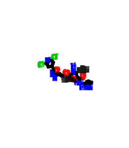 CCCC[C@H](NC(=O)O[C@H](c1nnc(-c2cc(Cl)nc(Cl)c2)o1)C(C)(C)C)C(=O)C(=O)Nc1ccn[nH]1